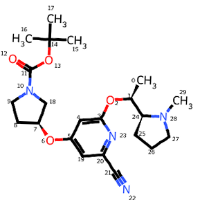 C[C@H](Oc1cc(O[C@H]2CCN(C(=O)OC(C)(C)C)C2)cc(C#N)n1)[C@@H]1CCCN1C